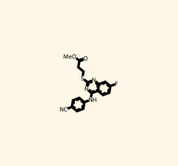 COC(=O)CCSc1nc(Nc2ccc(C#N)cc2)c2ccc(F)cc2n1